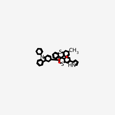 CC1C=CC2=C(C1)Sc1ccccc1C21c2cc(C3C=Cc4c(c5ccccc5n4C4C=CCCC4)C3)ccc2SC2C=C(c3ccc[nH]3)C=CC21